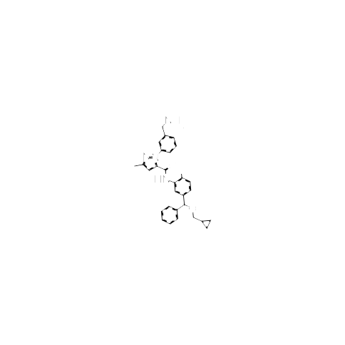 Cc1cc(C(=O)Nc2cc(C(OCC3CC3)c3ccccc3)ccc2F)n(-c2cccc(CN)c2)n1